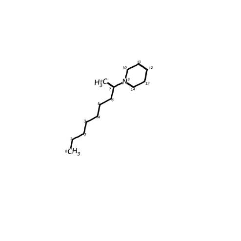 CCCC[CH]CCC(C)N1CCCCC1